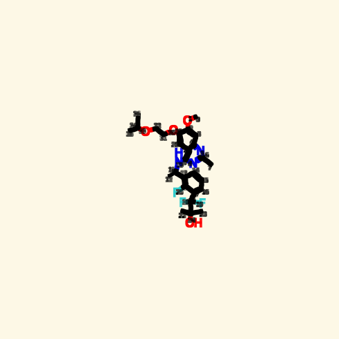 COc1cc2nc(C)nc(N[C@H](C)c3cccc(C(F)(F)C(C)(C)O)c3F)c2cc1OCCOC(C)C